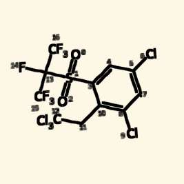 O=S(=O)(c1cc(Cl)[c]c(Cl)c1CC(Cl)(Cl)Cl)C(F)(C(F)(F)F)C(F)(F)F